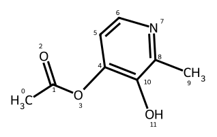 CC(=O)Oc1ccnc(C)c1O